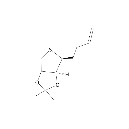 C=CCC[C@@H]1SCC2OC(C)(C)O[C@@H]21